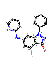 O=c1[nH]n(-c2ccccc2)c2cc(Nc3ccccn3)cc(F)c12